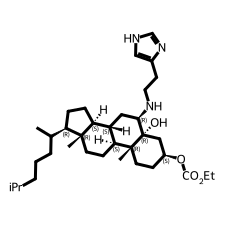 CCOC(=O)O[C@H]1CC[C@]2(C)[C@H]3CC[C@]4(C)[C@@H](C(C)CCCC(C)C)CC[C@H]4[C@@H]3C[C@@H](NCCc3c[nH]cn3)[C@@]2(O)C1